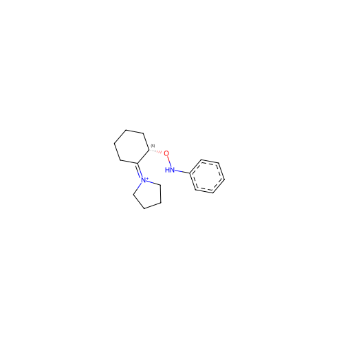 c1ccc(NO[C@H]2CCCCC2=[N+]2CCCC2)cc1